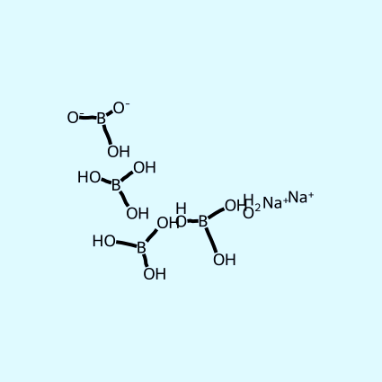 O.OB(O)O.OB(O)O.OB(O)O.[Na+].[Na+].[O-]B([O-])O